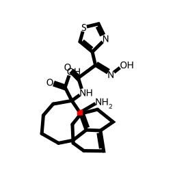 N/C1=C(\C2=C/CCCCCC2)CCCCCC1(NC(=O)C(=NO)c1cscn1)C(=O)O